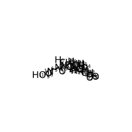 CN(C(=O)NCCN1CCC(O)C1)[C@H]1CC[C@@]2(C)[C@H](CC[C@@H]3[C@@H]2CC[C@]2(C)[C@@H](C4=CC(=O)OC4)CC[C@]32O)C1